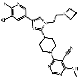 CNc1ncnc(N2CCC(c3nc(-c4cnc(F)c(Cl)c4)cn3CCN3CCC3)CC2)c1C#N